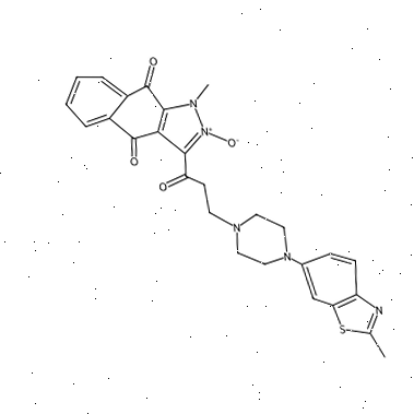 Cc1nc2ccc(N3CCN(CCC(=O)c4c5c(n(C)[n+]4[O-])C(=O)c4ccccc4C5=O)CC3)cc2s1